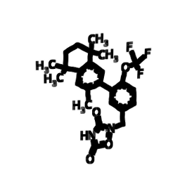 Cc1cc2c(cc1-c1cc(Cn3oc(=O)[nH]c3=O)ccc1OC(F)(F)F)C(C)(C)CCC2(C)C